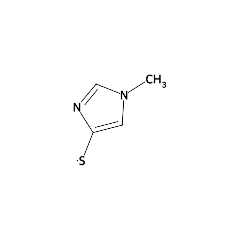 Cn1cnc([S])c1